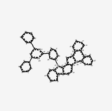 c1ccc(-c2cc(-c3ccccc3)nc(-c3cccc(-n4c5ccccc5c5ccc6c(cc7c8ccccc8c8ccccc8n76)c54)c3)n2)cc1